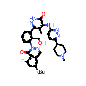 Cc1c(-c2cccc(-n3ncc4cc(C(C)(C)C)cc(F)c4c3=O)c2CO)n[nH]c(=O)c1Nc1ccc(C2CCN(C)CC2)nn1